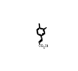 CCOC(=O)/C=C/c1ccc(C)c(C)c1